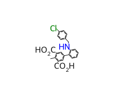 Cc1c(C(=O)O)cc(-c2ccccc2NCc2ccc(Cl)cc2)cc1C(=O)O